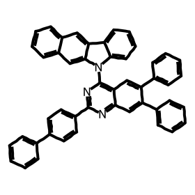 c1ccc(-c2ccc(-c3nc(-n4c5ccccc5c5cc6ccccc6cc54)c4cc(-c5ccccc5)c(-c5ccccc5)cc4n3)cc2)cc1